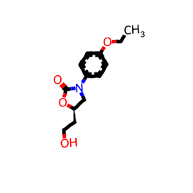 CCOc1ccc(N2C[C@@H](CCO)OC2=O)cc1